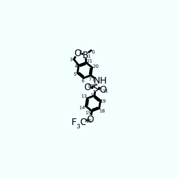 CB1OCc2ccc(NS(=O)(=O)c3ccc(OC(F)(F)F)cc3)cc21